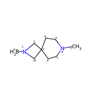 BN1CC2(CCN(C)CC2)C1